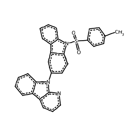 Cc1ccc(S(=O)(=O)n2c3ccccc3c3cc(-n4c5ccccc5c5cccnc54)ccc32)cc1